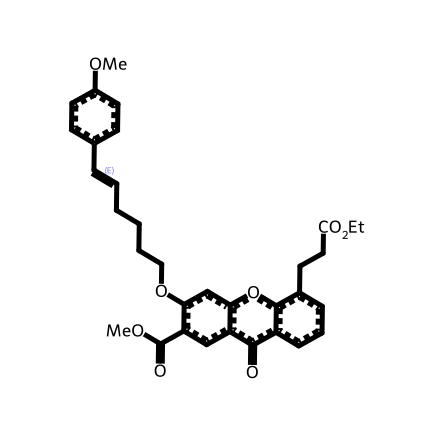 CCOC(=O)CCc1cccc2c(=O)c3cc(C(=O)OC)c(OCCCC/C=C/c4ccc(OC)cc4)cc3oc12